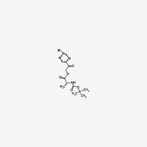 C[C@H](NC(=O)OC(C)(C)C)C(=O)OCC(=O)c1cnc(Br)cn1